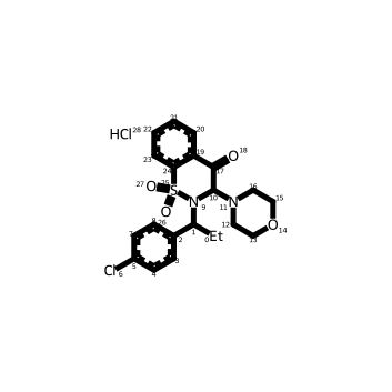 CCC(c1ccc(Cl)cc1)N1C(N2CCOCC2)C(=O)c2ccccc2S1(=O)=O.Cl